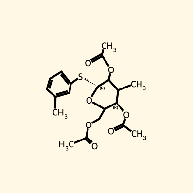 CC(=O)OCC1O[C@H](Sc2cccc(C)c2)C(OC(C)=O)C(C)[C@H]1OC(C)=O